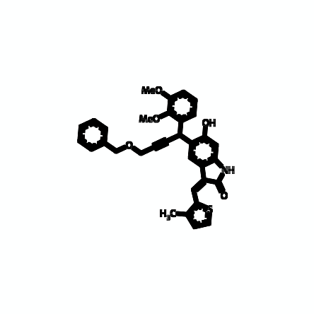 COc1cccc(C(C#CCOCc2ccccc2)c2cc3c(cc2O)NC(=O)/C3=C\c2sccc2C)c1OC